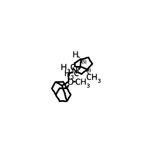 COC12CC3CC(C1)C(CCN1C[C@H]4CC[C@@](C)(C1)C4(C)C)C(C3)C2